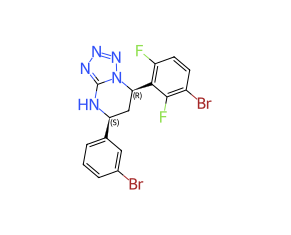 Fc1ccc(Br)c(F)c1[C@H]1C[C@@H](c2cccc(Br)c2)Nc2nnnn21